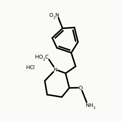 Cl.NOC1CCCN(C(=O)O)C1Cc1ccc([N+](=O)[O-])cc1